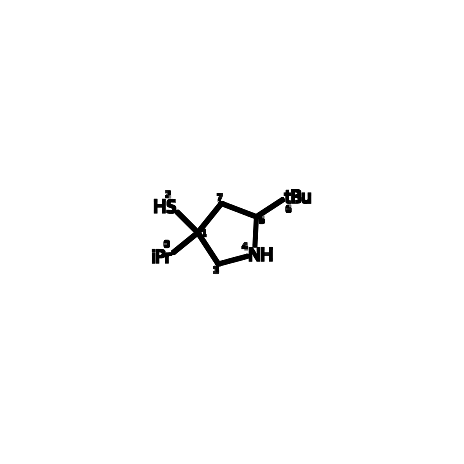 CC(C)C1(S)CNC(C(C)(C)C)C1